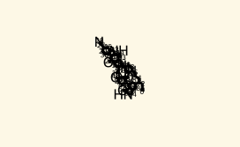 C#CCC(CCCN1CCN(c2cc3c(cc2CC)C(=O)c2c([nH]c4cc(C#N)ccc24)C3(C)C)CC1)c1cc2c(c(C3CCC(=O)NC3=O)c1)C(=O)NC2